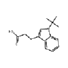 CC(C)(C)n1cc(CCC(=O)O)c2ccccc21